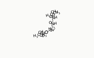 CC(C)(C)OC(=O)NCCC(=O)NCC1CCCn2cc(-c3ccc(C(=O)OC(C)(C)C)cc3)nc21